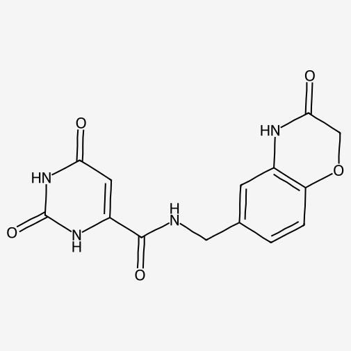 O=C1COc2ccc(CNC(=O)c3cc(=O)[nH]c(=O)[nH]3)cc2N1